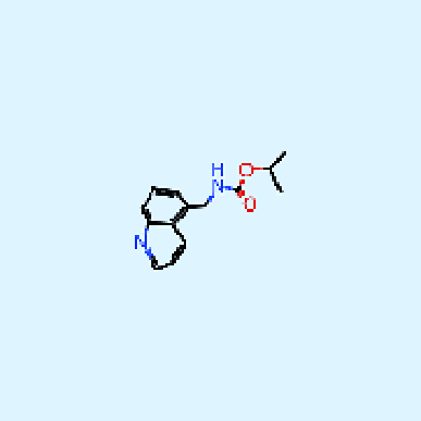 CC(C)OC(=O)NCc1cccc2ncccc12